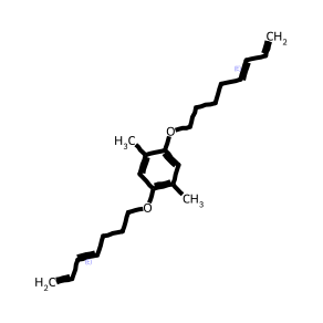 C=C/C=C/CCCCOc1cc(C)c(OCCC/C=C/C=C)cc1C